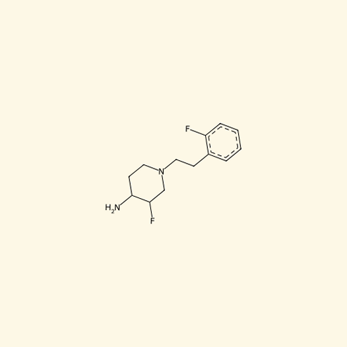 NC1CCN(CCc2ccccc2F)CC1F